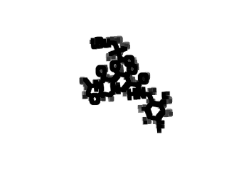 CC1COC2Cn3cc(C(=O)NCc4ccc(F)cc4F)c(=O)c(OC(=O)C(C)(C)CC(C)(C)C)c3C(=O)N12